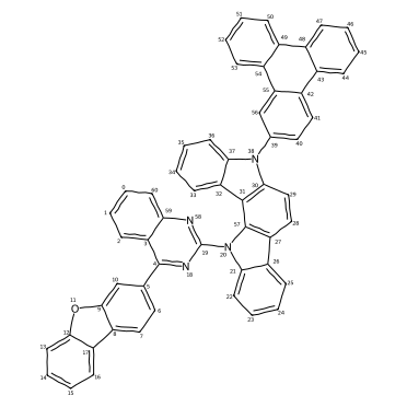 c1ccc2c(-c3ccc4c(c3)oc3ccccc34)nc(-n3c4ccccc4c4ccc5c(c6ccccc6n5-c5ccc6c7ccccc7c7ccccc7c6c5)c43)nc2c1